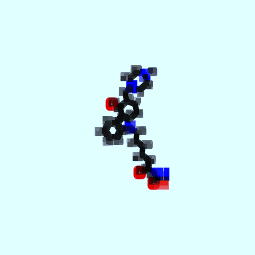 CN1CCN(CC2CCc3c(c4ccccc4n3CCCCCC(=O)NO)C2=O)CC1